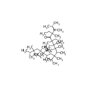 CCC(C)(C(=O)C(C)(CC)C(C)(C)C(C)(C)C(C)C(C)(CC(C)C(C)(C)C(C)(C)CC(C)(C)C(C)C)C(C)C)N(C)C(C)C